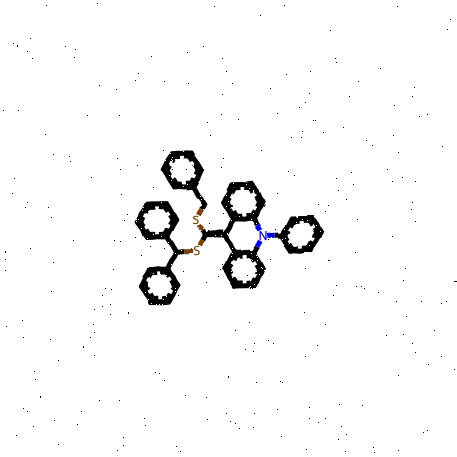 c1ccc(CSC(SC(c2ccccc2)c2ccccc2)=C2c3ccccc3N(c3ccccc3)c3ccccc32)cc1